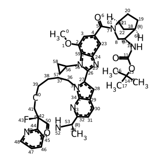 COc1cc(C(=O)N2C[C@H](NC(=O)OC(C)(C)C)[C@@H]3CC[C@H]2C3)cc2nc(-c3cc4ccc5nc4n3CCCCCC[C@@](F)(c3ccccn3)C(=O)N[C@@H]5C)n(C3CC3)c12